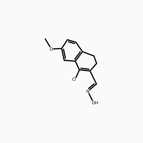 COc1ccc2c(c1)C(Cl)=C(C=NO)CC2